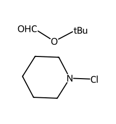 CC(C)(C)OC=O.ClN1CCCCC1